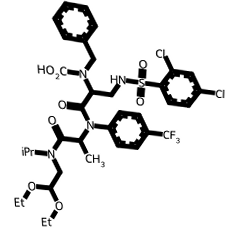 CCOC(CN(C(=O)C(C)N(C(=O)C(CNS(=O)(=O)c1ccc(Cl)cc1Cl)N(Cc1ccccc1)C(=O)O)c1ccc(C(F)(F)F)cc1)C(C)C)OCC